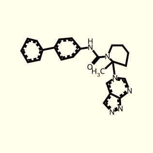 CC1(n2cnc3nncc-3c2)CCCCN1C(=O)Nc1ccc(-c2ccccc2)cc1